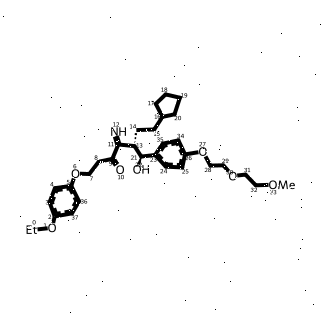 CCOc1ccc(OCCC(=O)C(=N)[C@H](CCC2CCCC2)[C@H](O)c2ccc(OCCOCCOC)cc2)cc1